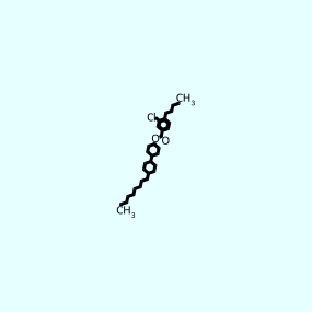 CCCCCCCCCC1CCC(C2CCC(OC(=O)c3ccc(CCCCC)c(Cl)c3)CC2)CC1